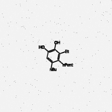 CCCCCc1c(CCCC)cc(O)c(O)c1CC